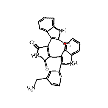 Cc1[nH]c2ccccc2c1C1=C(c2c(-c3cccc(CN)c3)[nH]c3ccccc23)C(=O)NC1=O